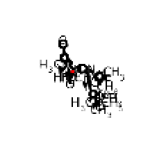 CCP(=O)(CC)c1c(C)cc(-n2ccn(-c3c4c(nn3-c3cc(C)c(F)c(C)c3)CCN(C(=O)c3cc5cc(C6CCOCC6)ccc5n3[C@@]3(c5noc(=O)[nH]5)C[C@@H]3C)[C@H]4C)c2=O)cc1NC